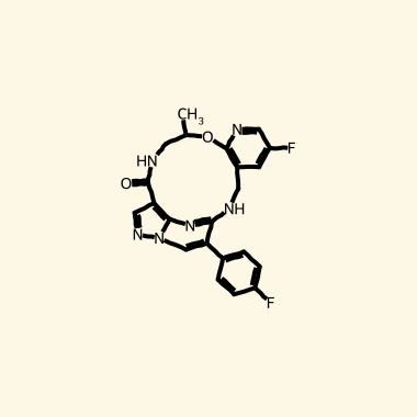 CC1CNC(=O)c2cnn3cc(-c4ccc(F)cc4)c(nc23)NCc2cc(F)cnc2O1